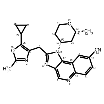 Cc1nc(Cc2nc3cnc4ccc(C#N)cc4c3n2[C@@H]2CCO[C@H](C)C2)c(C2CC2)o1